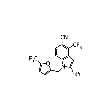 CCCc1cc2c(C(F)(F)F)c(C#N)ccc2n1Cc1ccc(C(F)(F)F)o1